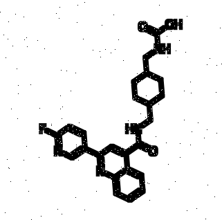 O=C(O)NCC1CCC(CNC(=O)c2cc(-c3ccc(F)nc3)nc3ccccc23)CC1